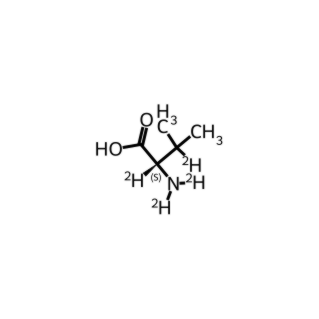 [2H]N([2H])[C@]([2H])(C(=O)O)C([2H])(C)C